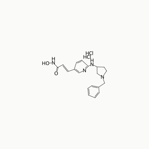 Cl.Cl.O=C(C=Cc1ccc(NC2CCN(Cc3ccccc3)C2)nc1)NO